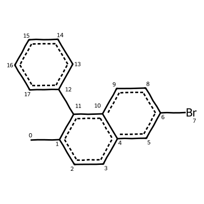 Cc1ccc2cc(Br)ccc2c1-c1ccccc1